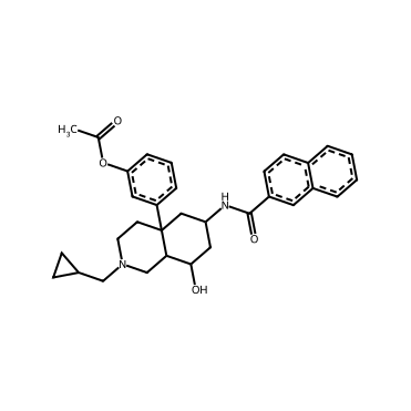 CC(=O)Oc1cccc(C23CCN(CC4CC4)CC2C(O)CC(NC(=O)c2ccc4ccccc4c2)C3)c1